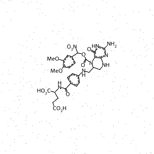 COc1ccc(C(OC(=O)N2c3c(nc(N)[nH]c3=O)NCC2CNc2ccc(C(=O)NC(CCC(=O)O)C(=O)O)cc2)[N+](=O)[O-])cc1OC